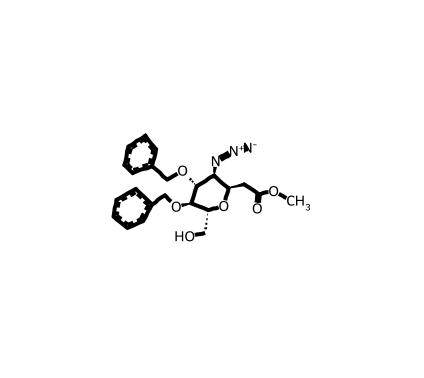 COC(=O)C[C@H]1O[C@H](CO)[C@@H](OCc2ccccc2)[C@H](OCc2ccccc2)[C@H]1N=[N+]=[N-]